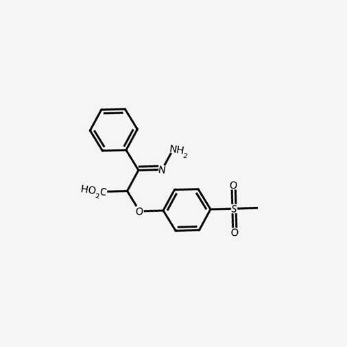 CS(=O)(=O)c1ccc(OC(C(=O)O)C(=NN)c2ccccc2)cc1